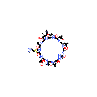 C/C=C/C[C@@H](C)[C@@H](O)[C@H]1C(=O)N[C@@H](CC)C(=O)N(C)[C@H](CSCCN(C)C)C(=O)N(C)[C@@H](CC(C)(C)OC)C(=O)N[C@@H](C(C)C)C(=O)N(C)[C@@H](CC(C)C)C(=O)N[C@@H](C)C(=O)N[C@H](C)C(=O)N(C)[C@@H](CC(C)C)C(=O)N(C)[C@@H](CC(C)C)C(=O)N(C)[C@@H](C(C)C)C(=O)N1C